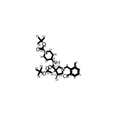 Cc1cccc(Cl)c1CN1C[C@@H](C)[C@@](CC(=O)OC(C)(C)C)(C(=O)NC2CCN(C(=O)OC(C)(C)C)CC2)C1